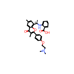 Cc1cc([C@@H](C)Nc2ccccc2C(=O)O)c2oc(-c3ccc(OCCN(C)C)cc3)c(C)c(=O)c2c1